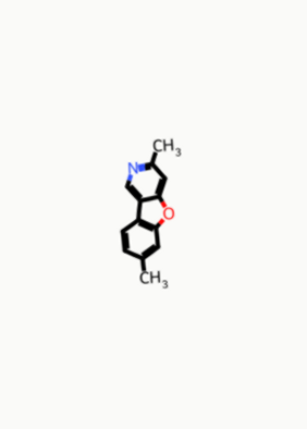 Cc1ccc2c(c1)oc1cc(C)ncc12